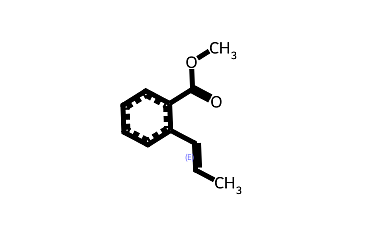 C/C=C/c1ccccc1C(=O)OC